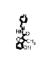 Cc1c(C(=O)NN=Cc2ccncc2)oc2cccc(O)c12